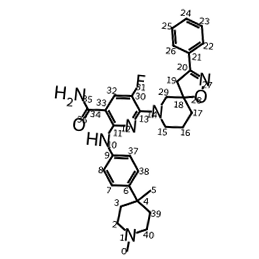 CN1CCC(C)(c2ccc(Nc3nc(N4CCCC5(CC(c6ccccc6)=NO5)C4)c(F)cc3C(N)=O)cc2)CC1